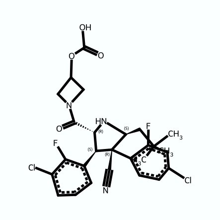 CC(C)(C)C[C@@H]1N[C@@H](C(=O)N2CC(OC(=O)O)C2)[C@H](c2cccc(Cl)c2F)[C@@]1(C#N)c1ccc(Cl)cc1F